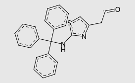 O=[C]Cc1csc(NC(c2ccccc2)(c2ccccc2)c2ccccc2)n1